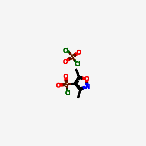 Cc1noc(C)c1S(=O)(=O)Cl.O=S(=O)(Cl)Cl